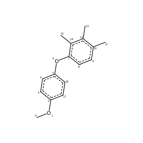 COc1ccc(Oc2[c]cc(C)c(C)c2C)cc1